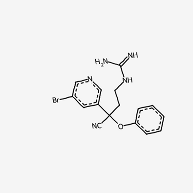 N#CC(CCNC(=N)N)(Oc1ccccc1)c1cncc(Br)c1